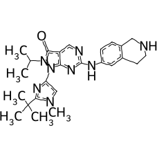 CC(C)n1c(=O)c2cnc(Nc3ccc4c(c3)CCNC4)nc2n1-c1cn(C)c(C(C)(C)C)n1